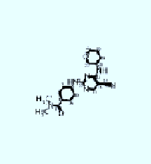 CN(C)C(=O)[C@H]1CC[C@H](Nc2ncc(C#N)c(N[C@@H]3CCCOC3)n2)CC1